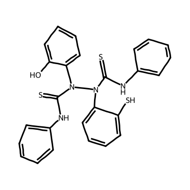 Oc1ccccc1N(C(=S)Nc1ccccc1)N(C(=S)Nc1ccccc1)c1ccccc1S